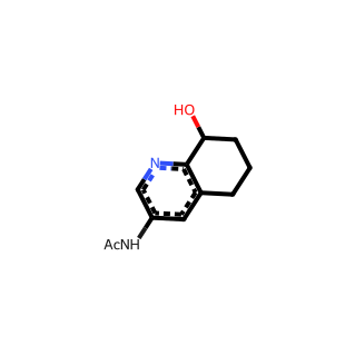 CC(=O)Nc1cnc2c(c1)CCCC2O